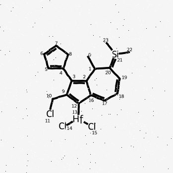 CC1C2=C(C3=CC=CC3)C(CCl)=[C]([Hf]([Cl])[Cl])C2=CC=CC1=[Si](C)C